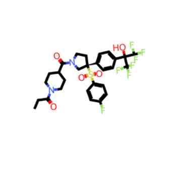 CCC(=O)N1CCC(C(=O)N2CC[C@](c3ccc(C(O)(C(F)(F)F)C(F)(F)F)cc3)(S(=O)(=O)c3ccc(F)cc3)C2)CC1